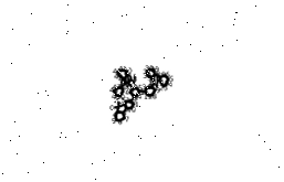 CC1(C)c2ccccc2-c2ccc(-c3cc(-c4cccc(-n5c6ccccc6c6ccccc65)c4)cc(-c4nc5ccccc5n4-c4ccccc4)c3)cc21